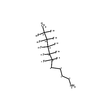 NCCCCC(F)(F)C(F)(F)C(F)(F)C(F)(F)C(F)(F)C(F)(F)F